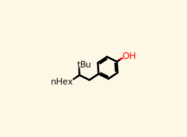 CCCCCCC(Cc1ccc(O)cc1)C(C)(C)C